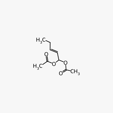 CCC=CC(OC(C)=O)OC(C)=O